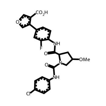 COC1CC(C(=O)Nc2ccc(-c3cocc3C(=O)O)cc2F)N(C(=O)Nc2ccc(Cl)cc2)C1